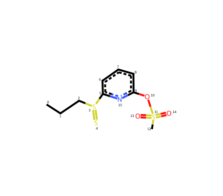 CCCS(=S)c1cccc(OS(C)(=O)=O)n1